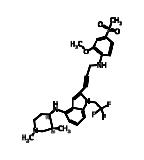 COc1cc(S(C)(=O)=O)ccc1NCC#Cc1cc2c(N[C@@H]3CCN(C)C[C@@H]3C)cccc2n1CC(F)(F)F